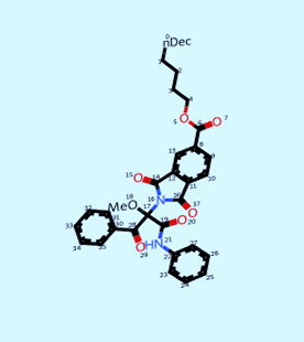 CCCCCCCCCCCCCCOC(=O)c1ccc2c(c1)C(=O)N(C(OC)(C(=O)Nc1ccccc1)C(=O)c1ccccc1)C2=O